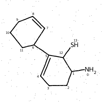 NC1CCC=C(C2C=CCCC2)C1S